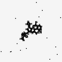 N#Cc1nccc(C(F)F)c1-c1nc2c(cc1F)c(CNS(=O)(=O)C1CC1)cn2C1CCC1